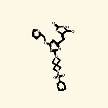 O=C1NC(=O)/C(=C/c2cc(OCc3ccco3)nc(N3CC4(C3)CN(S(=O)(=O)c3ccccc3)C4)n2)S1